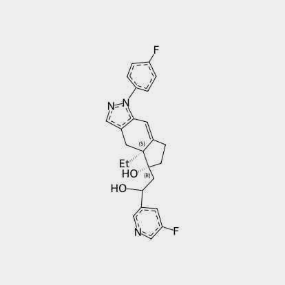 CC[C@]12Cc3cnn(-c4ccc(F)cc4)c3C=C1CC[C@@]2(O)CC(O)c1cncc(F)c1